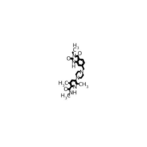 CCn1c(=O)[nH]c2cc(CN3CCN(c4cc(C)c(C(=O)NC)nc4C)CC3)ccc2c1=O